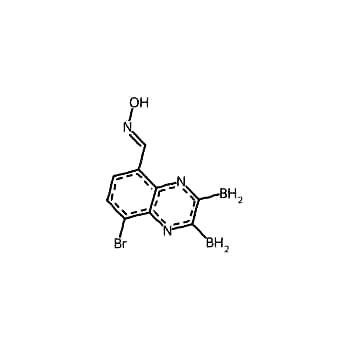 Bc1nc2c(Br)ccc(/C=N/O)c2nc1B